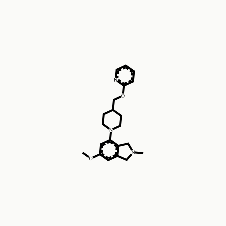 COc1cc2c(c(N3CCC(COc4ccccn4)CC3)c1)CN(C)C2